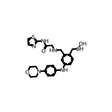 O=C(CNCc1cc(Nc2ccc(N3CCOCC3)cc2)ccc1CBO)Nc1nccs1